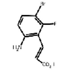 Nc1ccc(Br)c(F)c1/C=C/C(=O)O